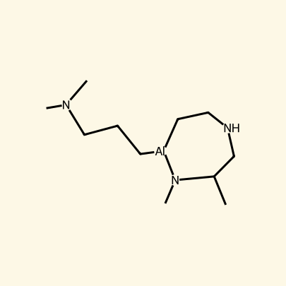 CC1CNC[CH2][Al]([CH2]CCN(C)C)[N]1C